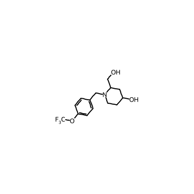 OCC1CC(O)CCN1Cc1ccc(OC(F)(F)F)cc1